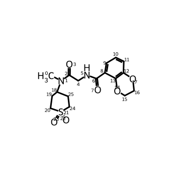 CN(C(=O)CNC(=O)c1cccc2c1OCCO2)C1CCS(=O)(=O)CC1